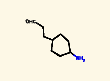 NC1CCC(CCC=O)CC1